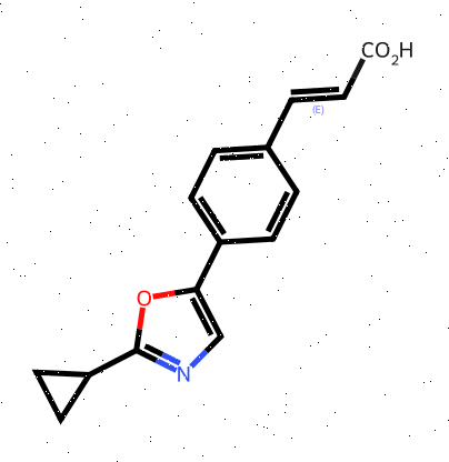 O=C(O)/C=C/c1ccc(-c2cnc(C3CC3)o2)cc1